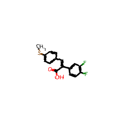 CSc1ccc(C=C(C(=O)O)c2ccc(F)c(F)c2)cc1